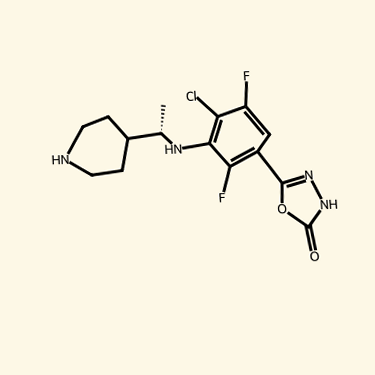 C[C@H](Nc1c(F)c(-c2n[nH]c(=O)o2)cc(F)c1Cl)C1CCNCC1